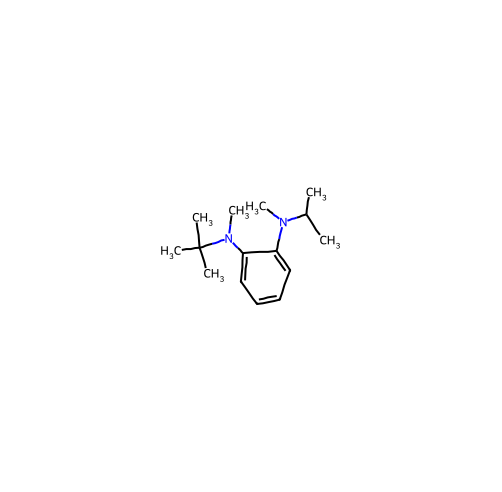 CC(C)N(C)c1ccccc1N(C)C(C)(C)C